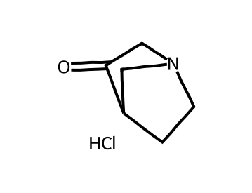 Cl.O=C1CN2CCC1C2